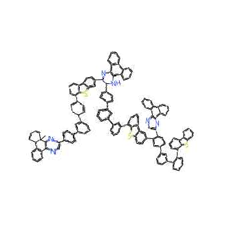 CC12C=CC=CC1c1ccccc1-c1ncc(-c3ccc(-c4cccc(C5C=CC(c6cccc7c6sc6cc(C8=Nc9c(c%10ccccc%10c%10ccccc9%10)NC8c8ccc(-c9cccc(-c%10cccc(-c%11cccc%12c%11sc%11ccc(-c%13cc(-c%14cccc(-c%15ccccc%15-c%15cccc%16c%15sc%15ccccc%15%16)c%14)ccc%13-c%13cnc%14c%15ccccc%15c%15ccccc%15c%14n%13)cc%11%12)c%10)c9)cc8)ccc67)=CC5)c4)cc3)nc12